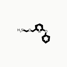 [SiH3]COCc1cccc(Oc2ccccc2)n1